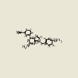 N#Cc1cccc(-c2nc(N)nc3c2ncn3Cc2ccc(N)cc2)n1